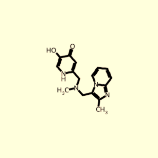 Cc1nc2ccccn2c1CN(C)Cc1cc(=O)c(O)c[nH]1